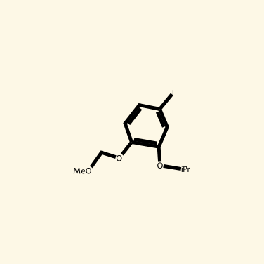 COCOc1ccc(I)cc1OC(C)C